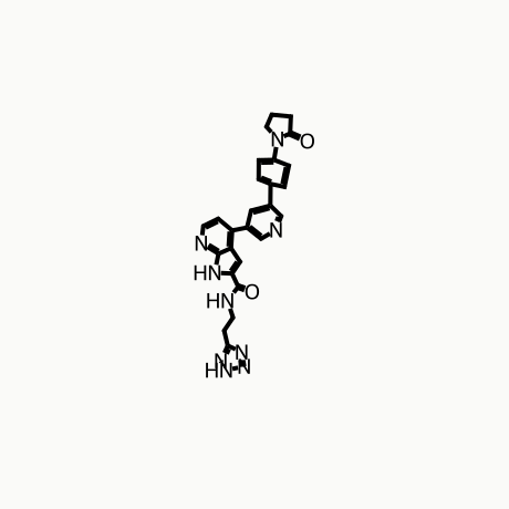 O=C(NCCc1nn[nH]n1)c1cc2c(-c3cncc(-c4ccc(N5CCCC5=O)cc4)c3)ccnc2[nH]1